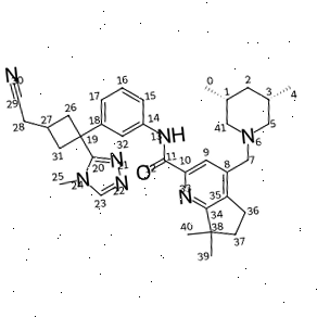 C[C@@H]1C[C@H](C)CN(Cc2cc(C(=O)Nc3cccc(C4(c5nncn5C)CC(CC#N)C4)c3)nc3c2CCC3(C)C)C1